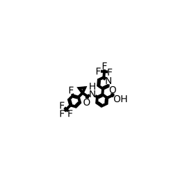 O=C(O)c1cccc(NC(=O)C2(c3ccc(C(F)(F)F)cc3F)CC2)c1-c1ccc(C(F)(F)F)nc1